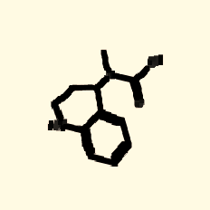 CN(C(=O)O)C1CCNc2ccccc21